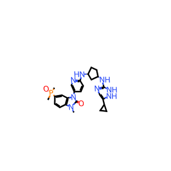 Cn1c(=O)n(-c2ccc(N[C@H]3CC[C@H](NC4=NC=C(C5CC5)NN4)C3)nc2)c2cc(P(C)(C)=O)ccc21